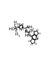 CC(C)(O)c1nc(/S(N)=N/C(=O)Nc2c3c(nc4c2CCC4)CCC3)cs1